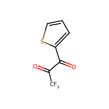 O=C(C(=O)C(F)(F)F)c1cccs1